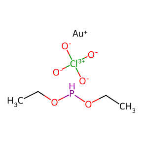 CCOPOCC.[Au+].[O-][Cl+3]([O-])([O-])[O-]